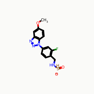 COc1ccc2c(c1)nnn2-c1ccc(CN[SH](=O)=O)c(F)c1